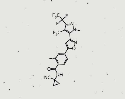 Cc1cc(-c2cc(-c3c(C(F)(F)F)c(C(F)(F)C(F)(F)F)nn3C)no2)ccc1C(=O)NC1(C#N)CC1